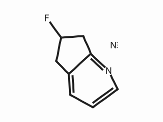 FC1Cc2cccnc2C1.[N]